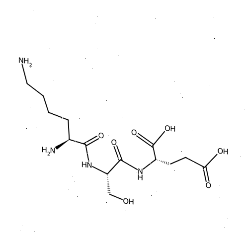 NCCCC[C@H](N)C(=O)N[C@@H](CO)C(=O)N[C@@H](CCC(=O)O)C(=O)O